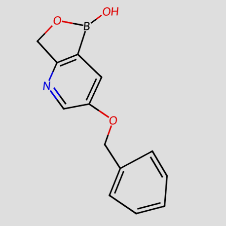 OB1OCc2ncc(OCc3ccccc3)cc21